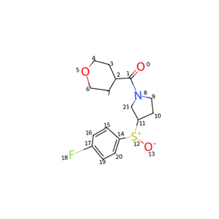 O=C(C1CCOCC1)N1CCC([S+]([O-])c2ccc(F)cc2)C1